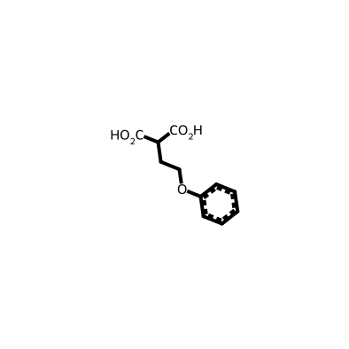 O=C(O)C(CCOc1ccccc1)C(=O)O